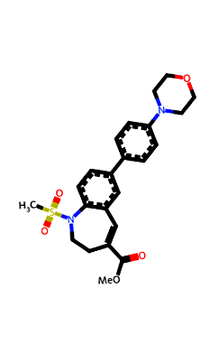 COC(=O)C1=Cc2cc(-c3ccc(N4CCOCC4)cc3)ccc2N(S(C)(=O)=O)CC1